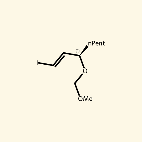 CCCCC[C@H](C=CI)OCOC